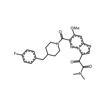 COc1cc2ncc(C(=O)C(=O)N(C)C)n2nc1C(=O)N1CCC(Cc2ccc(F)cc2)CC1